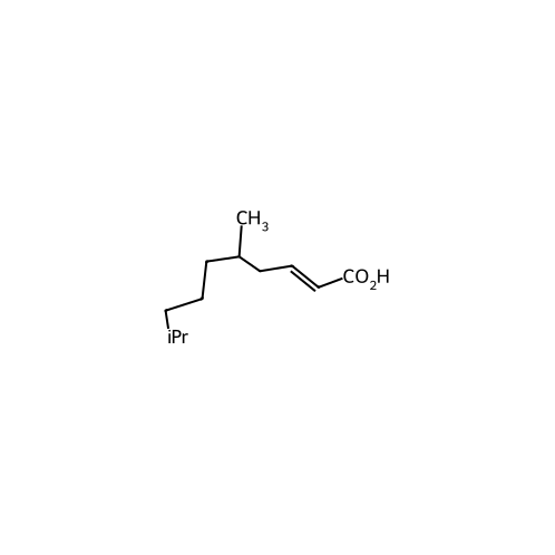 CC(C)CCCC(C)CC=CC(=O)O